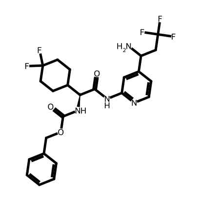 NC(CC(F)(F)F)c1ccnc(NC(=O)[C@@H](NC(=O)OCc2ccccc2)C2CCC(F)(F)CC2)c1